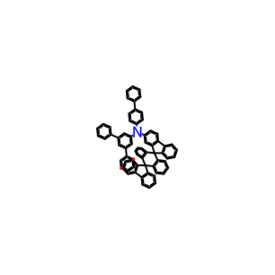 c1ccc(-c2ccc(N(c3cc(-c4ccccc4)cc(-c4ccccc4)c3)c3ccc4c(c3)C3(c5ccccc5-4)c4ccccc4C4(c5ccccc5-c5ccccc54)c4ccccc43)cc2)cc1